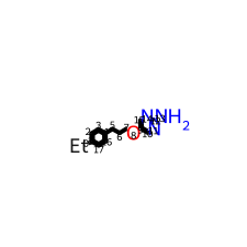 CCc1ccc(CCCOc2cnc(N)nc2)cc1